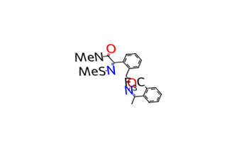 CNC(=O)C(=NSC)c1ccccc1CON=C(C)c1ccccc1C(F)(F)F